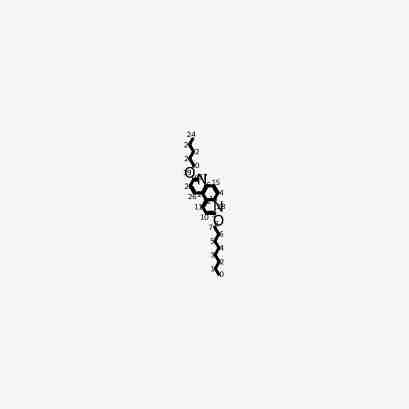 CCCCCCCCOc1ccc2c(ccc3nc(OCCCCC)ccc32)n1